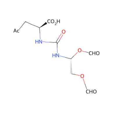 CC(=O)C[C@H](NC(=O)N[C@@H](COC=O)OC=O)C(=O)O